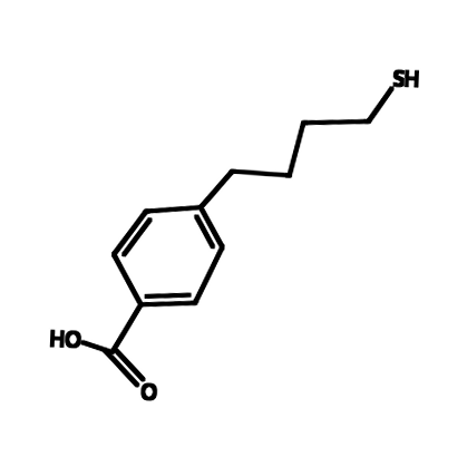 O=C(O)c1ccc(CCCCS)cc1